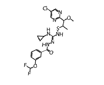 CO[C@H](c1ncc(Cl)cn1)C(C)SN/C(=N/NC(=O)c1cccc(OC(F)F)c1)NC1CC1